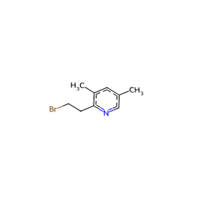 Cc1cnc(CCBr)c(C)c1